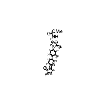 COC(=O)NC[C@H]1CN(c2ccc(-c3ccc(N4CCC(F)C4=O)nc3)c(F)c2)C(=O)O1